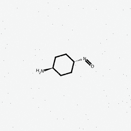 N[C@H]1CC[C@H](N=O)CC1